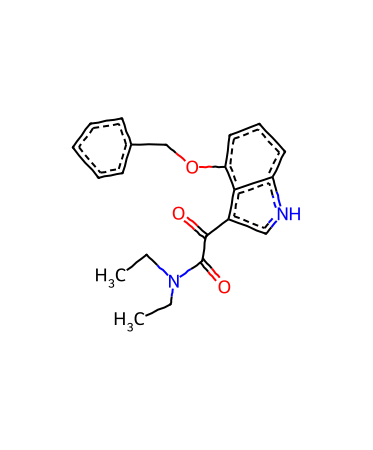 CCN(CC)C(=O)C(=O)c1c[nH]c2cccc(OCc3ccccc3)c12